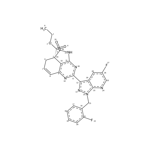 CCOC(=O)[C@@]12CC=Cc3nc(-c4nn(Cc5ccccc5F)c5ncc(F)cc45)nc(c31)NC2=O